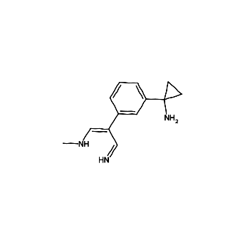 CN/C=C(\C=N)c1cccc(C2(N)CC2)c1